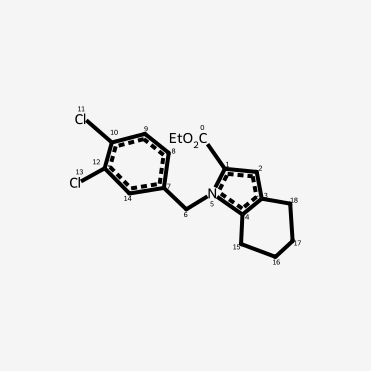 CCOC(=O)c1cc2c(n1Cc1ccc(Cl)c(Cl)c1)CCCC2